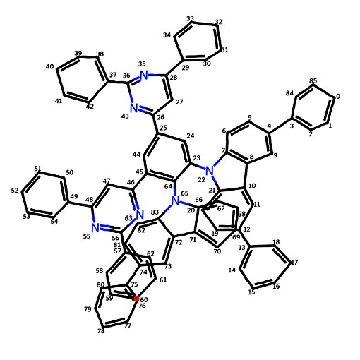 c1ccc(-c2ccc3c(c2)c2cc(-c4ccccc4)ccc2n3-c2cc(-c3cc(-c4ccccc4)nc(-c4ccccc4)n3)cc(-c3cc(-c4ccccc4)nc(-c4ccccc4)n3)c2-n2c3ccccc3c3cc(-c4ccccc4)ccc32)cc1